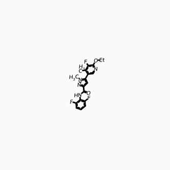 CCOc1ncc(-c2cc(C(=O)Nc3c(F)cccc3F)nn2C)c(C)c1F